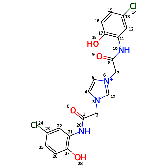 O=C(Cn1cc[n+](CC(=O)Nc2cc(Cl)ccc2O)c1)Nc1cc(Cl)ccc1O